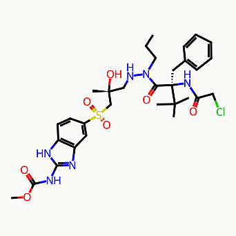 CCCN(NC[C@@](C)(O)CS(=O)(=O)c1ccc2[nH]c(NC(=O)OC)nc2c1)C(=O)[C@@](Cc1ccccc1)(NC(=O)CCl)C(C)(C)C